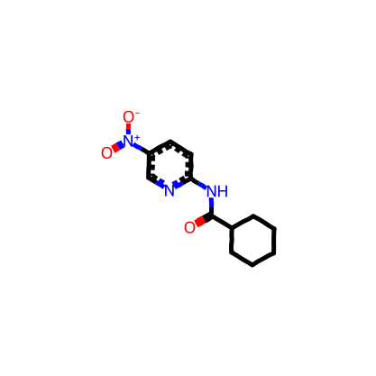 O=C(Nc1ccc([N+](=O)[O-])cn1)C1CCCCC1